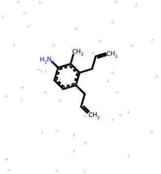 C=CCc1ccc(N)c(C)c1CC=C